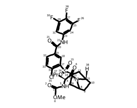 COC(=O)N[C@H](C(=O)N1C2CC[C@H]1C[C@H](S(=O)(=O)c1cc(C(=O)Nc3cc(F)c(F)c(F)c3)ccc1Cl)C2)C(C)C